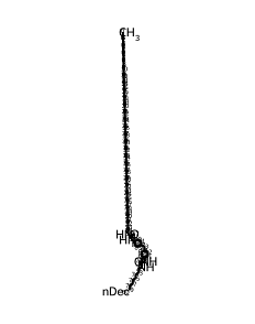 CC#CC#CC#CC#CC#CC#CC#CC#CC#CC#CC#CC#CC#CC#CC#CC#CC#CC#CC#CC#CC#CC#CC#CC#CC#CC#CC#CNC(=O)Nc1ccc(Cc2ccc(NC(=O)NCCCCCCCCCCCCCCCCCC)cc2)cc1